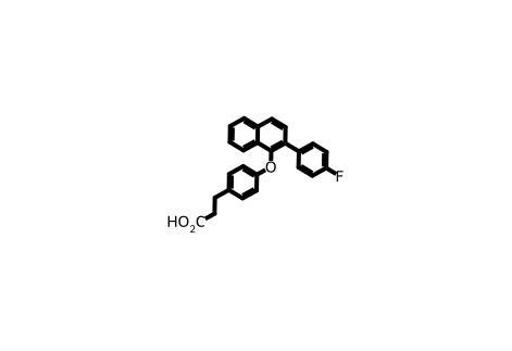 O=C(O)CCc1ccc(Oc2c(-c3ccc(F)cc3)ccc3ccccc23)cc1